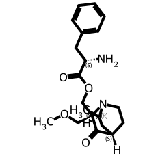 COC[C@]1(COC(=O)[C@@H](N)Cc2ccccc2)C(=O)[C@H]2CCN1[C@H](C)C2